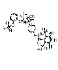 [2H]c1c([2H])c(C([2H])([2H])[2H])c(NC(=O)CN2CCN(C([2H])([2H])C([2H])(O)C([2H])([2H])Oc3ccccc3OC([2H])([2H])[2H])CC2)c(C([2H])([2H])[2H])c1[2H]